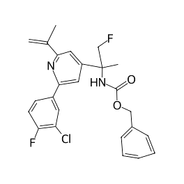 C=C(C)c1cc(C(C)(CF)NC(=O)OCc2ccccc2)cc(-c2ccc(F)c(Cl)c2)n1